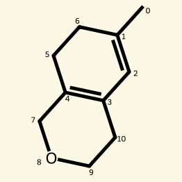 CC1=CC2=C(CC1)COCC2